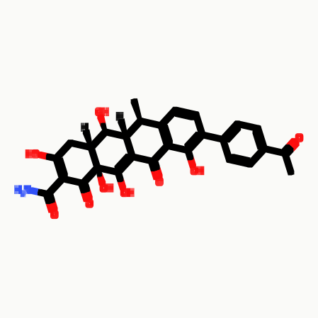 CC(=O)c1ccc(-c2ccc3c(c2O)C(=O)C2=C(O)[C@]4(O)C(=O)C(C(N)=O)=C(O)C[C@@H]4[C@@H](O)[C@@H]2[C@H]3C)cc1